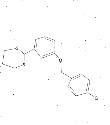 Clc1ccc(COc2cccc(C3SCCCS3)c2)cc1